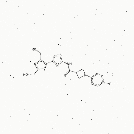 O=C(Nc1nc(-c2sc(CO)nc2CO)cs1)C1CN(c2ccc(F)cc2)C1